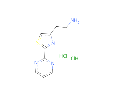 Cl.Cl.NCCc1csc(-c2ncccn2)n1